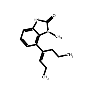 CC/C=C(\CCC)c1cccc2[nH]c(=O)n(C)c12